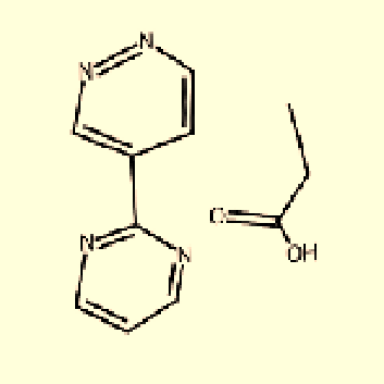 CCC(=O)O.c1cnc(-c2ccnnc2)nc1